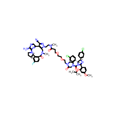 COc1ccc(C2=N[C@@H](c3ccc(Cl)cc3)[C@@H](c3ccc(Cl)cc3)N2C(=O)N2CCN(CCOCCOCCC(=O)N(C)CCn3nc(C#N)c4c3CN(C)C(=O)c3ccc(F)cc3[C@H]3CCCN3c3nc-4cnc3N)C(=O)C2)c(OC(C)C)c1